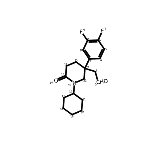 O=CCC1(c2ccc(F)c(F)c2)CCC(=O)N(C2CCCCC2)C1